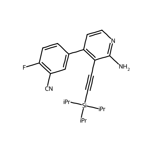 CC(C)[Si](C#Cc1c(-c2ccc(F)c(C#N)c2)ccnc1N)(C(C)C)C(C)C